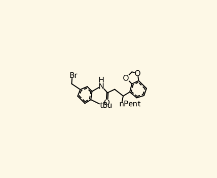 CCCCCC(CC(=O)Nc1cc(CBr)ccc1C(C)(C)C)c1cccc2c1OCO2